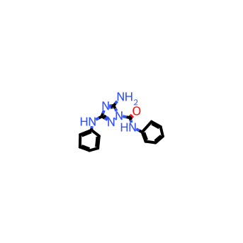 Nc1nc(Nc2ccccc2)nn1C(=O)Nc1ccccc1